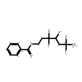 O=C(SCCC(F)(F)C(F)CC(F)(F)C(F)(F)F)c1ccccc1